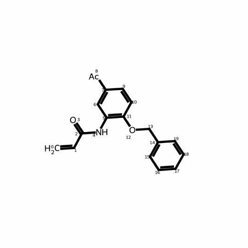 C=CC(=O)Nc1cc(C(C)=O)ccc1OCc1ccccc1